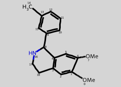 COc1cc2c(cc1OC)C(c1cccc(C)c1)NCC2